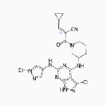 CCn1cc(Nc2nc(NC3CCCN(C(=O)/C(C#N)=C/C4CC4)C3)c3c(Cl)n[nH]c3n2)cn1